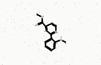 COC(=O)c1ccnc(-c2ccccc2OC)c1